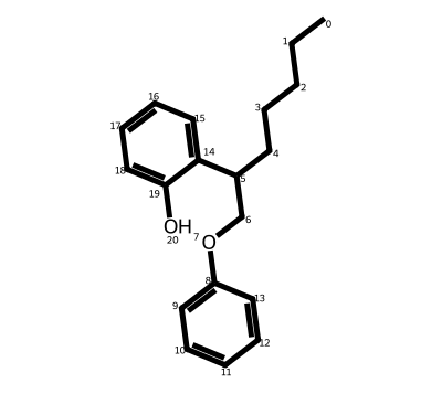 CCCCCC(COc1ccccc1)c1ccccc1O